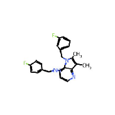 Cc1c(C)n(Cc2cccc(F)c2)c2c(NCc3ccc(F)cc3)ccnc12